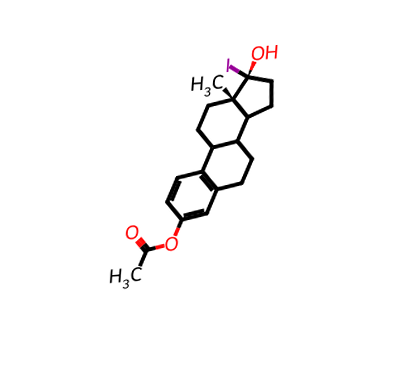 CC(=O)Oc1ccc2c(c1)CCC1C2CC[C@@]2(C)C1CC[C@@]2(O)I